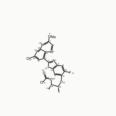 COc1cnc2c(-c3nc4cc(F)c(O[C@@H](C)[C@@H](C)OC(=O)Cl)cc4s3)cc(Cl)cc2n1